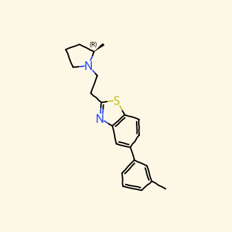 Cc1cccc(-c2ccc3sc(CCN4CCC[C@H]4C)nc3c2)c1